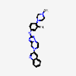 Cc1cc(Nc2nc3n(n2)C=CN(c2cnc4ccccc4c2)C3)ccc1N1CCN(C)CC1